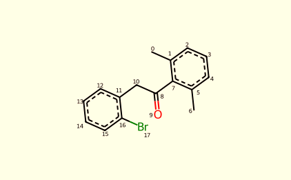 Cc1cccc(C)c1C(=O)Cc1ccccc1Br